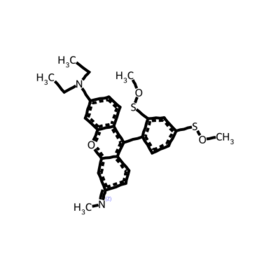 CCN(CC)c1ccc2c(-c3ccc(SOC)cc3SOC)c3cc/c(=N/C)cc-3oc2c1